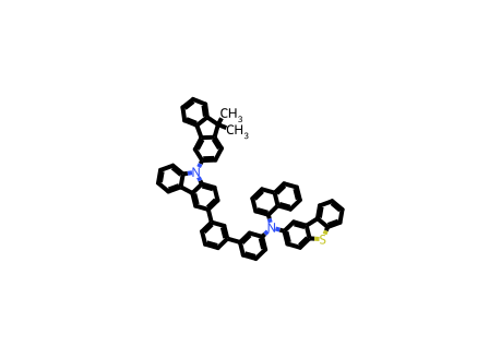 CC1(C)c2ccccc2-c2cc(-n3c4ccccc4c4cc(-c5cccc(-c6cccc(N(c7ccc8sc9ccccc9c8c7)c7cccc8ccccc78)c6)c5)ccc43)ccc21